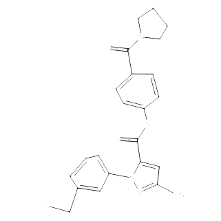 N#Cc1cc(C(=O)Nc2ccc(C(=O)N3CCCC3)cc2)n(-c2cccc(CN)c2)n1